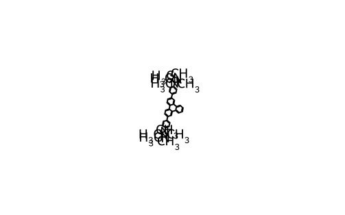 CC1=NC(C)(C)C(C)(C)N1c1ccc(-c2ccc3c4ccc(-c5ccc(N6C(C)=NC(C)(C)C6(C)C)cc5)cc4c4ccccc4c3c2)cc1